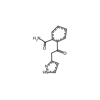 NC(=O)c1ccccc1C(=O)Cc1cc[nH]n1